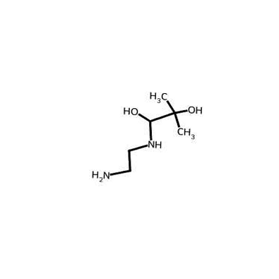 CC(C)(O)C(O)NCCN